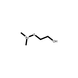 C[As](C)SCCO